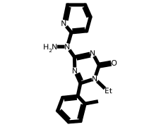 CCn1c(-c2ccccc2C)nc(N(N)c2ccccn2)nc1=O